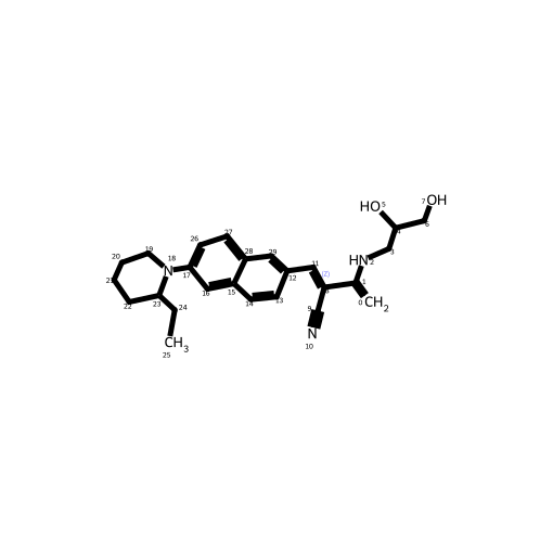 C=C(NCC(O)CO)/C(C#N)=C/c1ccc2cc(N3CCCCC3CC)ccc2c1